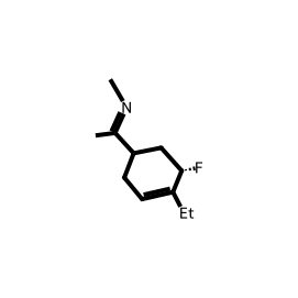 CCC1=CCC(/C(C)=N/C)C[C@@H]1F